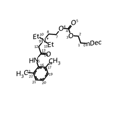 CCCCCCCCCCCCOC(=O)OCC[N+](CC)(CC)CC(=O)Nc1c(C)cccc1C